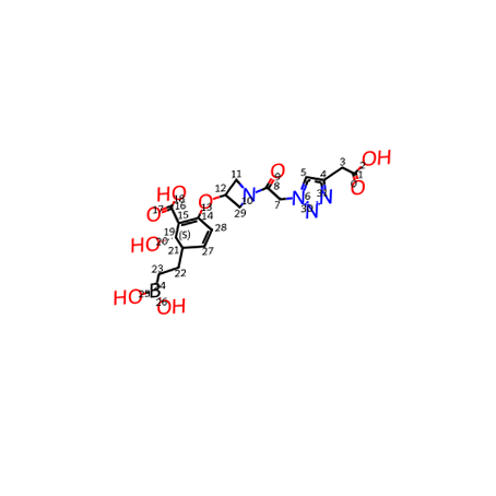 O=C(O)Cc1cn(CC(=O)N2CC(OC3=C(C(=O)O)[C@@H](O)C(CCB(O)O)C=C3)C2)nn1